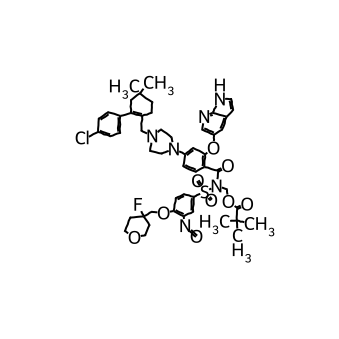 CC1(C)CCC(CN2CCN(c3ccc(C(=O)N(COC(=O)C(C)(C)C)S(=O)(=O)c4ccc(OCC5(F)CCOCC5)c(N=O)c4)c(Oc4cnc5[nH]ccc5c4)c3)CC2)=C(c2ccc(Cl)cc2)C1